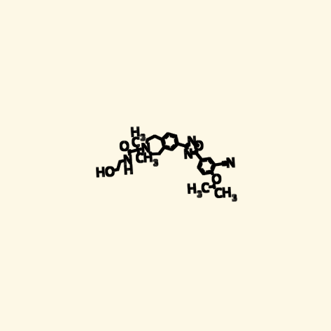 CC(C)Oc1ccc(-c2nc(-c3ccc4c(c3)CCN(C(C)(C)C(=O)NCCO)CC4)no2)cc1C#N